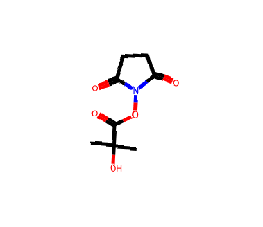 CC(C)(O)C(=O)ON1C(=O)CCC1=O